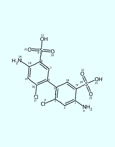 Nc1cc(Cl)c(-c2cc(S(=O)(=O)O)c(N)cc2Cl)cc1S(=O)(=O)O